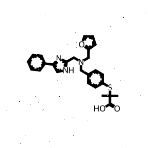 CC(C)(Sc1ccc(CN(Cc2nc(-c3ccccc3)c[nH]2)Cc2ccco2)cc1)C(=O)O